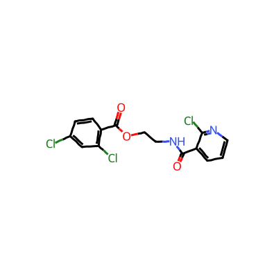 O=C(OCCNC(=O)c1cccnc1Cl)c1ccc(Cl)cc1Cl